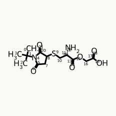 CC(C)(C)N1C(=O)CC(SC[C@H](N)C(=O)OCC(=O)O)C1=O